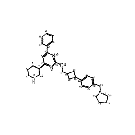 c1ccc(-c2cc(C3CCCNC3)nc(OCC3CC(c4ccc(CN5CCCC5)cc4)C3)n2)cc1